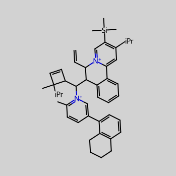 C=CC1C(C(C2C=CC2(C)C(C)C)[n+]2cc(-c3cccc4c3CCCC4)ccc2C)c2ccccc2-c2cc(C(C)C)c([Si](C)(C)C)c[n+]21